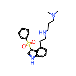 CN(C)CCCNCCc1cccc2[nH]cc(S(=O)(=O)c3ccccc3)c12